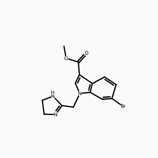 COC(=O)c1cn(CC2=NCCN2)c2cc(Br)ccc12